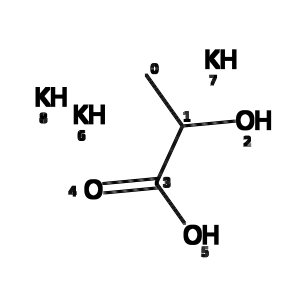 CC(O)C(=O)O.[KH].[KH].[KH]